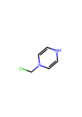 ClCN1C=CNC=C1